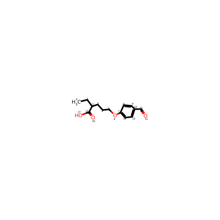 CCC(CCCOc1ccc(C=O)cc1)C(=O)O